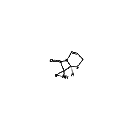 O=C1N2C=CCS[C@H]2C12NS2